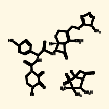 CC1(C)[C@H](C(=O)O)N2C(=O)C[C@H]2S1(=O)=O.CCN1CCN(C(=O)N[C@@H](C(=O)N[C@@H]2C(=O)N3C(C(=O)O)=C(CSc4nnnn4C)CS[C@H]23)c2ccc(O)cc2)C(=O)C1=O